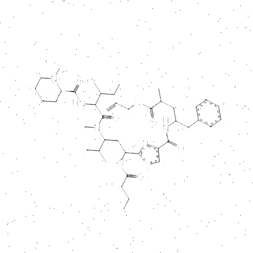 C=CCOC(=O)C(C)CC(Cc1ccccc1)NC(=O)c1csc(C(CC(C(C)C)N(C)C(=O)C(NC(=O)[C@H]2CCCCN2C)C(C)CC)OC(=O)CCC)n1